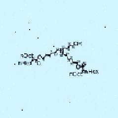 CCCCCCCCC(CCCCCC)C(=O)OCCCCCCN(CCCCO)CCCCCCOC(=O)C(CCCCCC)CCCCCCCC